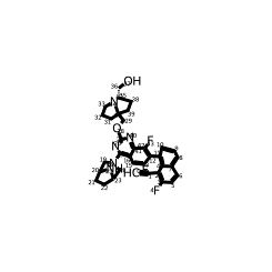 C#Cc1c(F)ccc2cccc(-c3c(F)cc4c(N5CC6CCC(C5)N6)nc(OCC56CCCN5[C@H](CO)CC6)nc4c3F)c12